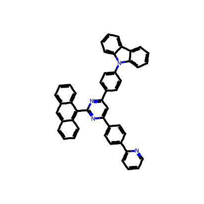 c1ccc(-c2ccc(-c3cc(-c4ccc(-n5c6ccccc6c6ccccc65)cc4)nc(-c4c5ccccc5cc5ccccc45)n3)cc2)nc1